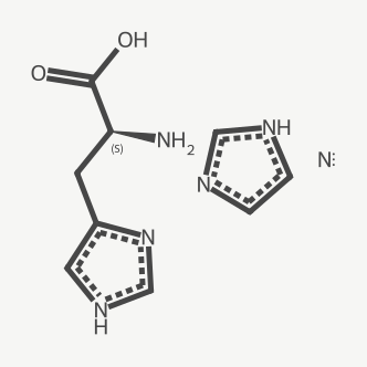 N[C@@H](Cc1c[nH]cn1)C(=O)O.[N].c1c[nH]cn1